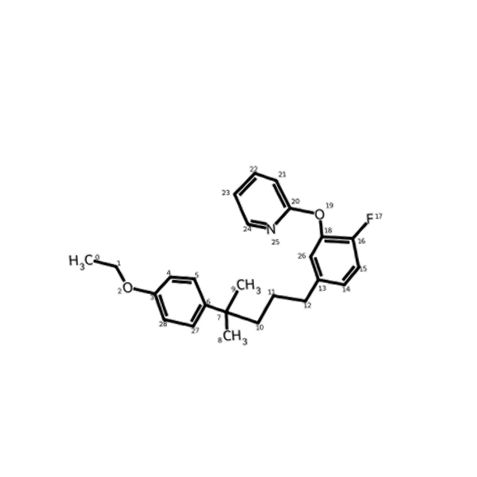 CCOc1ccc(C(C)(C)CCCc2ccc(F)c(Oc3ccccn3)c2)cc1